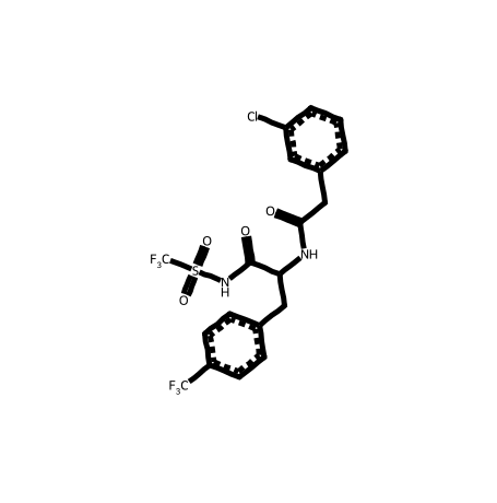 O=C(Cc1cccc(Cl)c1)NC(Cc1ccc(C(F)(F)F)cc1)C(=O)NS(=O)(=O)C(F)(F)F